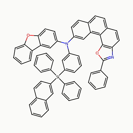 c1ccc(-c2nc3ccc4ccc5ccc(N(c6cccc([Si](c7ccccc7)(c7ccccc7)c7ccc8ccccc8c7)c6)c6ccc7oc8ccccc8c7c6)cc5c4c3o2)cc1